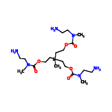 CN(CCN)C(=O)OCC[Si](C)(CCOC(=O)N(C)CCN)CCOC(=O)N(C)CCN